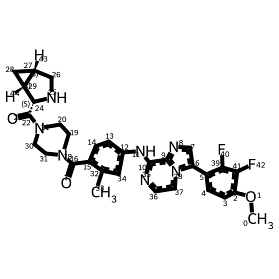 COc1ccc(-c2cnc3c(Nc4ccc(C(=O)N5CCN(C(=O)[C@H]6NC[C@H]7C[C@H]76)CC5)c(C)c4)nccn23)c(F)c1F